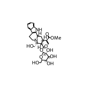 COC(=O)C1=CO[C@@H](OC2OC(CO)[C@@H](O)[C@H](O)[C@H]2O)[C@H]2[C@@H]1C[C@@H]1c3[nH]c4ccccc4c3CCN1[C@H]2CO